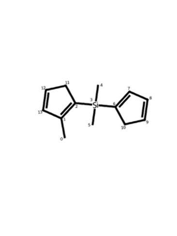 CC1=C([Si](C)(C)C2=CC=CC2)CC=C1